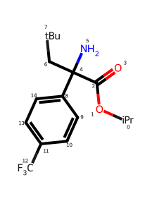 CC(C)OC(=O)C(N)(CC(C)(C)C)c1ccc(C(F)(F)F)cc1